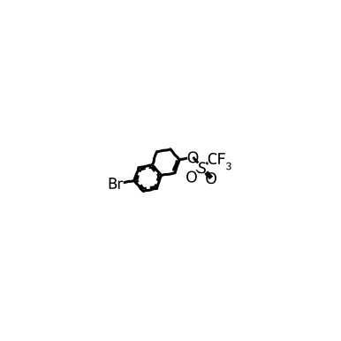 O=S(=O)(OC1=Cc2ccc(Br)cc2CC1)C(F)(F)F